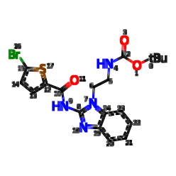 CC(C)(C)OC(=O)NCCn1c(NC(=O)c2ccc(Br)s2)nc2ccccc21